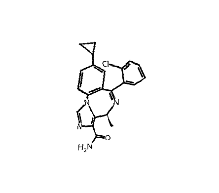 C[C@@H]1N=C(c2ccccc2Cl)c2cc(C3CC3)ccc2-n2cnc(C(N)=O)c21